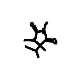 CC(C)C1(C)C(=O)N(C)C(=O)C1C